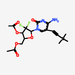 CC(=O)OCC1OC(n2cc(C#C[Si](C)(C)C)c(N)nc2=O)C(F)(F)C1OC(C)=O